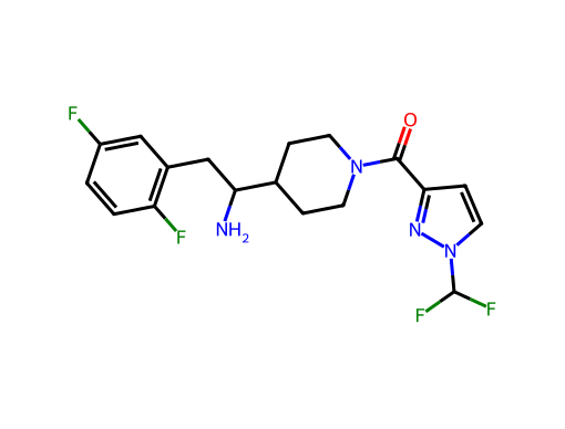 NC(Cc1cc(F)ccc1F)C1CCN(C(=O)c2ccn(C(F)F)n2)CC1